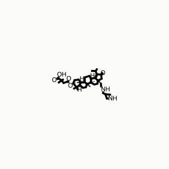 CC(C)C1=C2[C@H]3CC[C@@H]4[C@@]5(C)CC[C@H](OC(=O)CC(C)(C)C(=O)O)C(C)(C)[C@@H]5CC[C@@]4(C)[C@]3(C)CC[C@@]2(CCNCC2CNC2)CC1=O